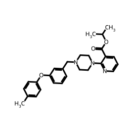 Cc1ccc(Oc2cccc(CN3CCN(c4ncccc4C(=O)OC(C)C)CC3)c2)cc1